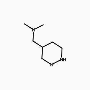 CN(C)CC1CCN[N]C1